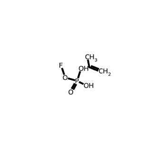 C=CC.O=P(O)(O)OF